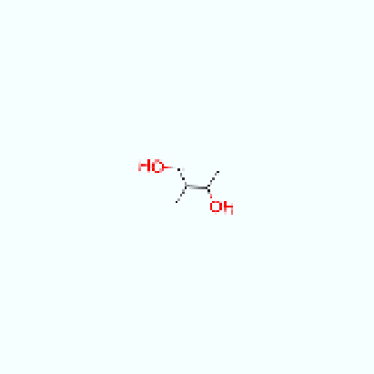 CC(O)C(C)[CH]O